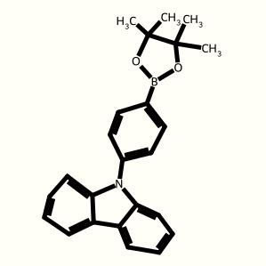 CC1(C)OB(c2ccc(-n3c4ccccc4c4ccccc43)cc2)OC1(C)C